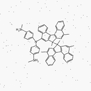 C[SiH2]c1ccc(N(c2ccc([SiH2]C)cc2)c2cc3c(c4ccccc24)-c2c(cc(C)c4ccccc24)C3(C)C2(C)c3cc(C)c4ccccc4c3-c3c2cc(C)c2ccccc32)cc1